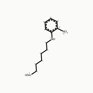 CCCCCCCCCCCCCCCCNc1ccccc1[N+](=O)[O-]